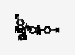 C[C@@H](N1CCc2nc(-c3ccc(C#N)cc3)sc2C1)[C@](O)(Cn1cncn1)c1ccc(F)cc1F